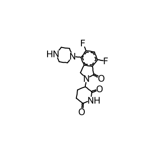 O=C1CCC(N2Cc3c(c(F)cc(F)c3N3CCNCC3)C2=O)C(=O)N1